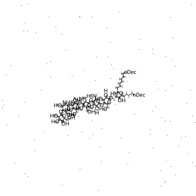 CCCCCCCCCCCCC/C=C/[C@@H](O)[C@H](CO[C@@H]1OC(CO)[C@@H](O[C@@H]2OC(CO)[C@H](O[C@@H]3OC(CO)[C@H](O)[C@H](O[C@@H]4OC(CO)[C@H](O)[C@H](O[C@@H]5OC(CO)[C@H](O[C@@H]6OC(CO)[C@H](O)[C@H](O)C6O)[C@H](O)C5NC(C)=O)C4O)C3NC(C)=O)[C@H](O)C2O)[C@H](O)C1O)NC(=O)CCCCCCCCCCCCCCCCC